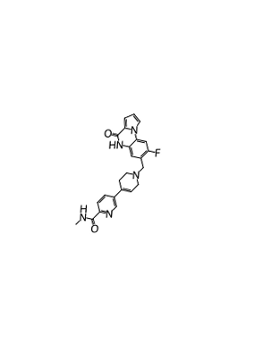 CNC(=O)c1ccc(C2=CCN(Cc3cc4[nH]c(=O)c5cccn5c4cc3F)CC2)cn1